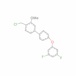 COc1cc(-c2ccc(Oc3cc(F)cc(F)c3)cc2)ccc1CCl